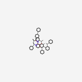 C=C1C=C(c2ccccc2)N=C(c2cc(-c3ccccc3)c(-c3ccccc3C(C)c3ccccc3)c(C)c2C(C)c2ccccc2-c2ccccc2C)N=C1c1ccc(-c2ccccc2)cc1